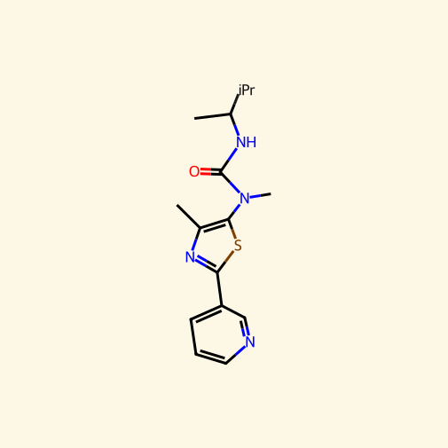 Cc1nc(-c2cccnc2)sc1N(C)C(=O)NC(C)C(C)C